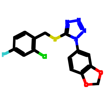 Fc1ccc(CSc2nnnn2-c2ccc3c(c2)OCO3)c(Cl)c1